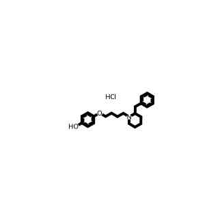 Cl.Oc1ccc(OCCCCN2CCCCC2Cc2ccccc2)cc1